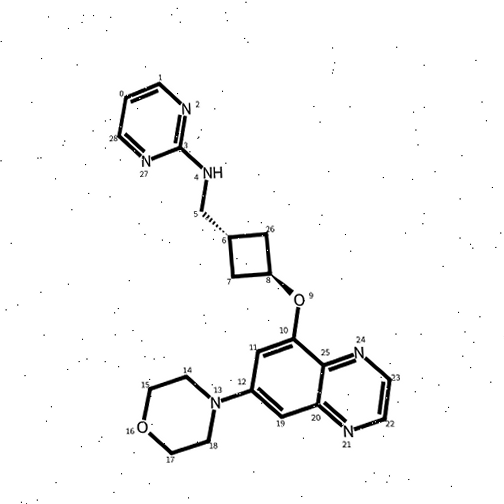 c1cnc(NC[C@H]2C[C@H](Oc3cc(N4CCOCC4)cc4nccnc34)C2)nc1